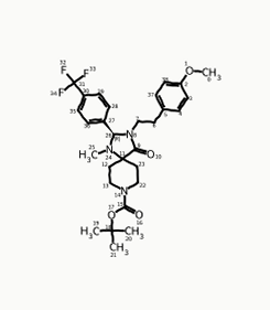 COc1ccc(CCN2C(=O)C3(CCN(C(=O)OC(C)(C)C)CC3)N(C)[C@H]2c2ccc(C(F)(F)F)cc2)cc1